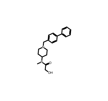 CN(C(=O)CO)C1CCN(Cc2ccc(-c3ccccc3)cc2)CC1